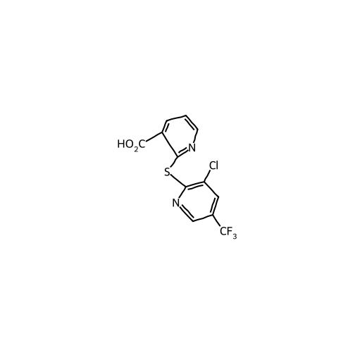 O=C(O)c1cccnc1Sc1ncc(C(F)(F)F)cc1Cl